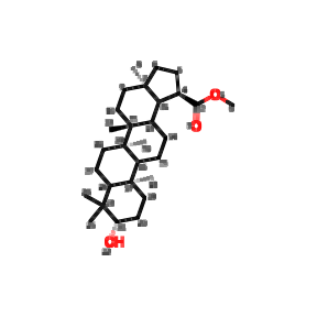 COC(=O)[C@@H]1CC[C@]2(C)CC[C@]3(C)C(CCC4[C@@]5(C)CC[C@H](O)C(C)(C)C5CC[C@]43C)C12